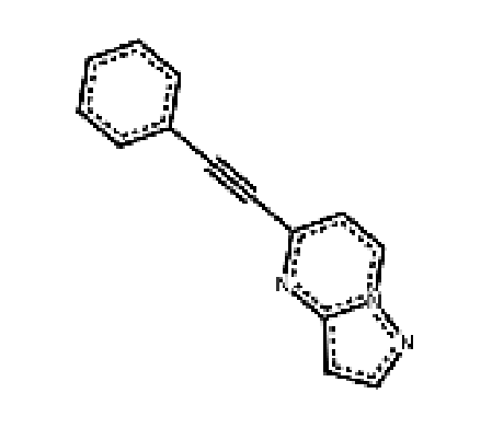 C(#Cc1ccn2nccc2n1)c1ccccc1